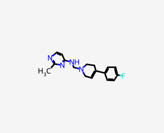 Cc1nccc(NCN2CC=C(c3ccc(F)cc3)CC2)n1